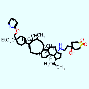 C=C(C)[C@@H]1CC[C@]2(NCCC3(O)CCS(=O)(=O)CC3)CC[C@]3(C)[C@H](CCC4CC/C=C(/C5=CCC(COc6ccccn6)(C(=O)OCC)CC5)C(C)(C)C(C)CC[C@]43C)C12